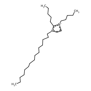 CCCCCCCCCCCCCCCn1cc[n+](CCCCC)c1CCCCC